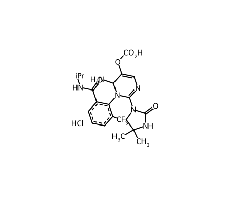 CC(C)NC(=O)c1cccc(C(F)(F)F)c1N1C(N2CC(C)(C)NC2=O)=NC=C(OC(=O)O)C1N.Cl